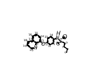 CCCCS(=O)(=O)Nc1ccc(Oc2cccc3cccnc23)cc1